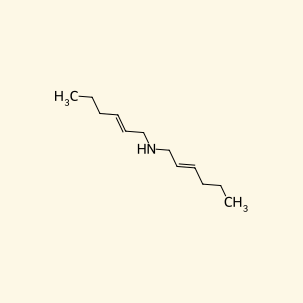 CCCC=CCNCC=CCCC